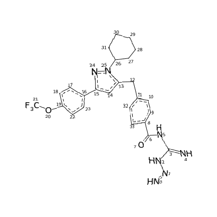 N=NNC(=N)NC(=O)c1ccc(Cc2cc(-c3ccc(OC(F)(F)F)cc3)nn2C2CCCCC2)cc1